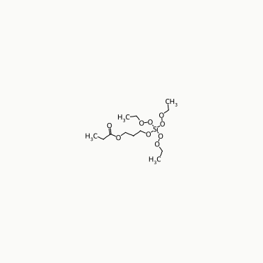 CCOO[Si](OCCCOC(=O)CC)(OOCC)OOCC